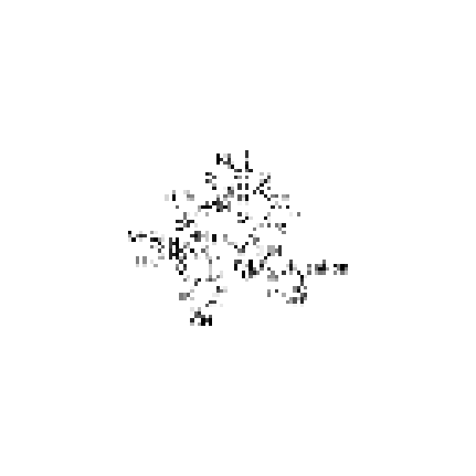 CCCCCCCCCC(=O)N[C@@H](CC(C)C)C(=O)NC(C(=O)N1CCC[C@@H]1C(=O)NC(C(=O)N[C@@H](C)C(=O)N[C@@H](Cc1ccc(O)cc1)C(=O)NC(C)C=O)C(C)O)C(C)O